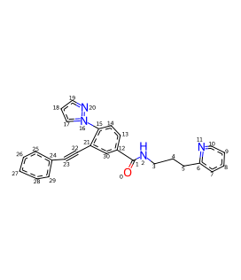 O=C(NCCCc1ccccn1)c1ccc(-n2cccn2)c(C#Cc2ccccc2)c1